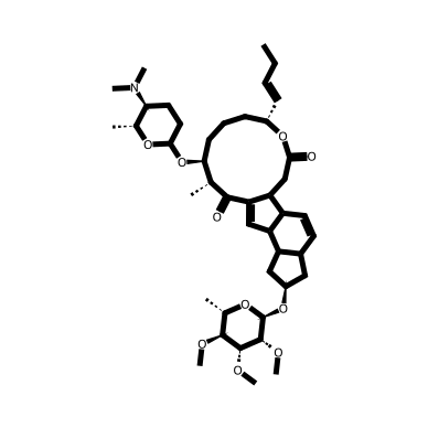 CC/C=C/[C@H]1CCC[C@H](OC2CC[C@H](N(C)C)[C@@H](C)O2)[C@@H](C)C(=O)C2=CC3C(C=CC4C[C@@H](O[C@@H]5O[C@@H](C)[C@H](OC)[C@@H](OC)[C@H]5OC)CC43)C2CC(=O)O1